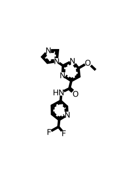 COc1cc(C(=O)Nc2ccc(C(F)F)nc2)nc(-n2ccnc2)n1